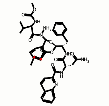 CCCC(=O)O[C@@H](CC(c1ccccc1)N(N)C(=O)C(NC(=O)OC)C(C)C)[C@H](Cc1ccccc1)NC(=O)[C@H](CC(N)=O)NC(=O)c1ccc2ccccc2n1